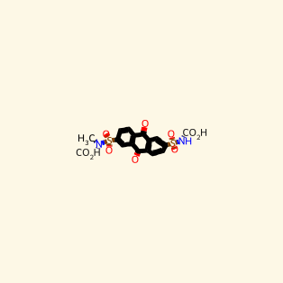 CN(C(=O)O)S(=O)(=O)c1ccc2c(c1)C(=O)c1ccc(S(=O)(=O)NC(=O)O)cc1C2=O